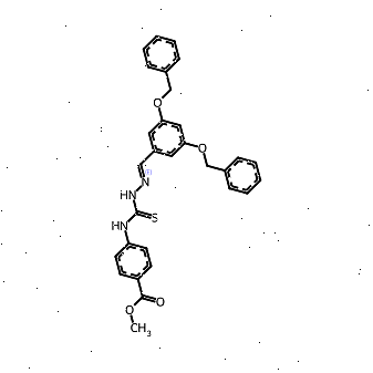 COC(=O)c1ccc(NC(=S)N/N=C/c2cc(OCc3ccccc3)cc(OCc3ccccc3)c2)cc1